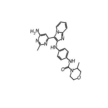 Cc1nc(N)cc(-c2c(Nc3ccc(NC(=O)N4CCOCC4C)cc3)nc3ccccn23)n1